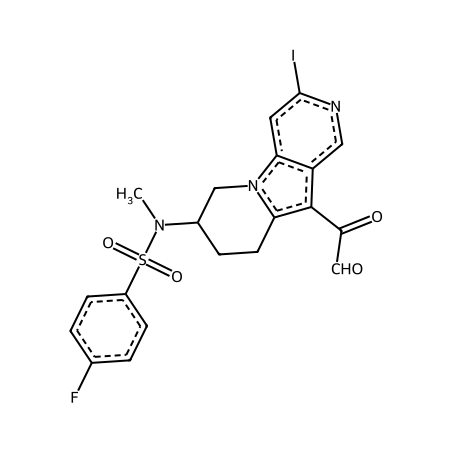 CN(C1CCc2c(C(=O)C=O)c3cnc(I)cc3n2C1)S(=O)(=O)c1ccc(F)cc1